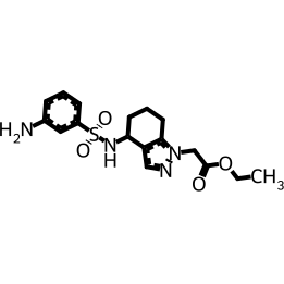 CCOC(=O)Cn1ncc2c1CCCC2NS(=O)(=O)c1cccc(N)c1